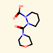 O=C(O)N1CCCCN1C(=O)N1CCOCC1